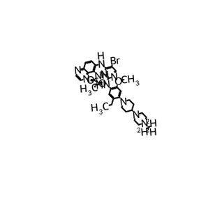 [2H]C([2H])([2H])N1CCN(C2CCN(c3cc(OC)c(Nc4ncc(Br)c(Nc5ccc6nccnc6c5NS(C)(=O)=O)n4)cc3CC)CC2)CC1